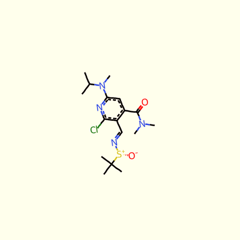 CC(C)N(C)c1cc(C(=O)N(C)C)c(/C=N/[S@+]([O-])C(C)(C)C)c(Cl)n1